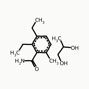 CC(O)CO.CCc1ccc(C)c(C(N)=O)c1CC